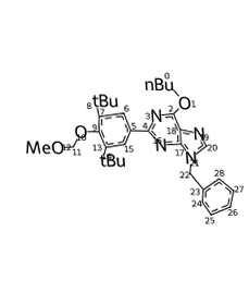 CCCCOc1nc(-c2cc(C(C)(C)C)c(OCOC)c(C(C)(C)C)c2)nc2c1ncn2Cc1ccccc1